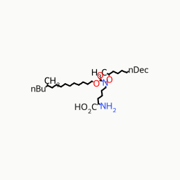 CCCCCCCCCCCCCCC(C)ON(CCCC[C@H](N)C(=O)O)C(=O)OCCCCCCCCCCC(C)CCCC